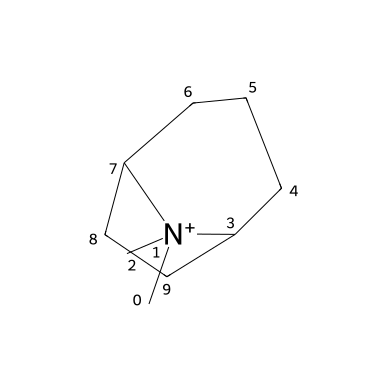 C[N+]1(C)C2CCCC1CC2